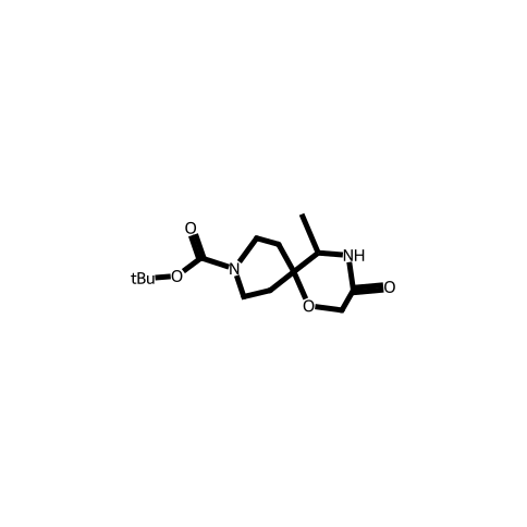 CC1NC(=O)COC12CCN(C(=O)OC(C)(C)C)CC2